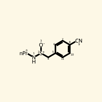 CCCN[S+]([O-])Cc1ccc(C#N)cc1